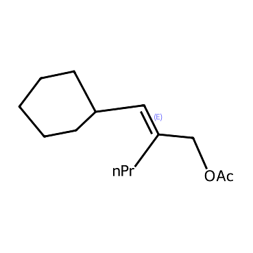 CCC/C(=C\C1CCCCC1)COC(C)=O